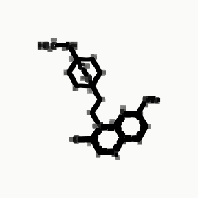 COc1ccc2ncc(=O)n(CCC34CCC(NC(=O)O)(CC3)CO4)c2n1